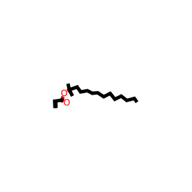 C=CC(=O)OC(C)(C)CCCCCCCCCCCC